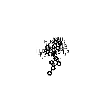 Bc1c(B)c(B)c(-c2nc(-c3ccc4c(c3)oc3cccc(-n5c6ccccc6c6cc(-c7ccccc7)ccc65)c34)nc(-c3c(B)c(B)c(B)c(-c4c(B)c(B)c(B)c(B)c4B)c3B)n2)c(B)c1B